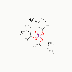 C=C(C)CC(CC)OP(=O)(OC(CC)CC(=C)C)OC(CC)CC(=C)C